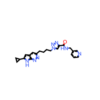 O=C(NCc1cccnc1)c1cn(CCCCc2cc3cc(C4CC4)[nH]c3nn2)nn1